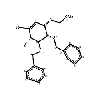 CCC1=C[C@@H](OCOC)[C@H](OCc2ccccc2)[C@@H](OCc2ccccc2)[C@@H]1C